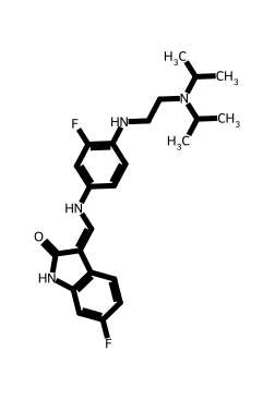 CC(C)N(CCNc1ccc(NC=C2C(=O)Nc3cc(F)ccc32)cc1F)C(C)C